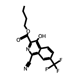 CCCCOC(=O)c1nc(C#N)c2cc(C(F)(F)F)ccc2c1O